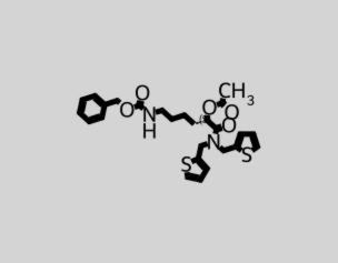 CC(=O)O[C@@H](CCCCNC(=O)OCc1ccccc1)C(=O)N(Cc1cccs1)Cc1cccs1